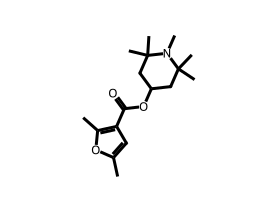 Cc1cc(C(=O)OC2CC(C)(C)N(C)C(C)(C)C2)c(C)o1